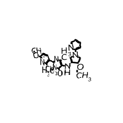 CCO[C@H]1CN(c2ccccn2)C[C@H]1Nc1c(C)nc(-c2ccc(OC)nc2C)n(C)c1=O